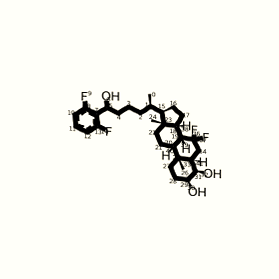 C[C@H](CCCC(O)c1c(F)cccc1F)[C@H]1CC[C@H]2[C@H]3[C@H](CC[C@]12C)[C@@]1(C)CC[C@H](O)[C@H](O)[C@@H]1CC3(F)F